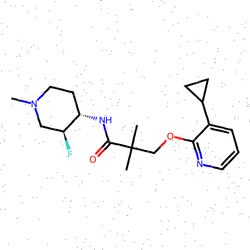 CN1CC[C@H](NC(=O)C(C)(C)COc2ncccc2C2CC2)[C@@H](F)C1